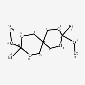 CCOC1(CC)OCC2(CO1)COC(CC)(OC(C)C)OC2